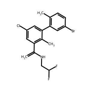 C=C(NCC(F)F)c1cc(Cl)cc(-c2cc(Br)ccc2C)c1C